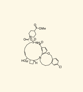 COC(=O)C1CCN(C(=O)[C@H]2CC/C=C\[C@H](O)[C@@H]3CC[C@H]3CN3CCCCc4cc(Cl)ccc4COc4ccc(cc43)C(=O)NS2(=O)=O)CC1